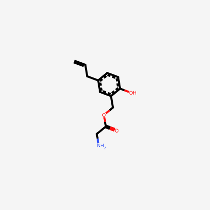 C=CCc1ccc(O)c(COC(=O)CN)c1